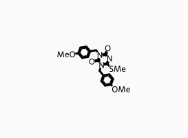 COc1ccc(Cn2c(SC)nc(=O)n(Cc3ccc(OC)cc3)c2=O)cc1